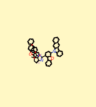 CC1C/C=C(c2ccc3c(c2)oc2ccccc23)/N=C(c2ccc(-n3c4ccccc4c4cc5ccccc5cc43)c3oc4ccccc4c23)\N=C/1c1ccc(-c2ccccc2)cc1